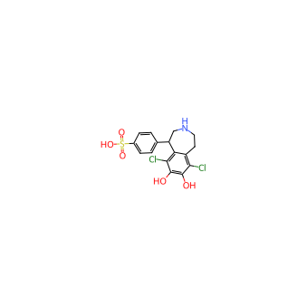 O=S(=O)(O)c1ccc(C2CNCCc3c(Cl)c(O)c(O)c(Cl)c32)cc1